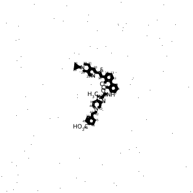 Cn1c(C(=O)Nc2cccc(-c3cccc(C=C(F)c4cc5c(cn4)CN(C4CC4)CC5)c3Cl)c2Cl)nc2c1CCN(CCC13CCC(C(=O)O)(CC1)C3)C2